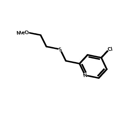 COCCSCc1cc(Cl)ccn1